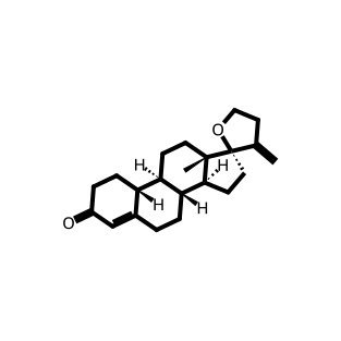 C=C1CCO[C@@]12CC[C@H]1[C@@H]3CCC4=CC(=O)CC[C@@H]4[C@H]3CC[C@@]12C